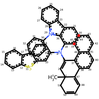 CC12C=C(N(c3ccc4c(c3)sc3ccccc34)c3cccc4c5ccccc5n(-c5ccccc5)c34)c3c(ccc4ccccc34)C1=CC=CC2